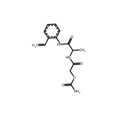 C=Cc1ccccc1NC(=O)C(C)NC(=O)COC(N)=O